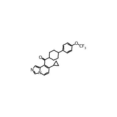 O=C(c1c(C2CC2)ccn2cncc12)C1CCC(c2ccc(OC(F)(F)F)cc2)CC1